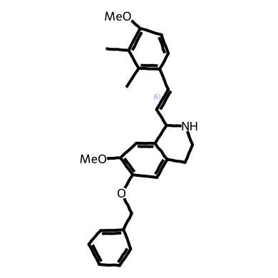 COc1cc2c(cc1OCc1ccccc1)CCNC2/C=C/c1ccc(OC)c(C)c1C